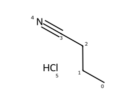 CCCC#N.Cl